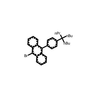 CCCCC(CCC)(CCCC)c1ccc(-c2c3ccccc3c(Br)c3ccccc23)cc1